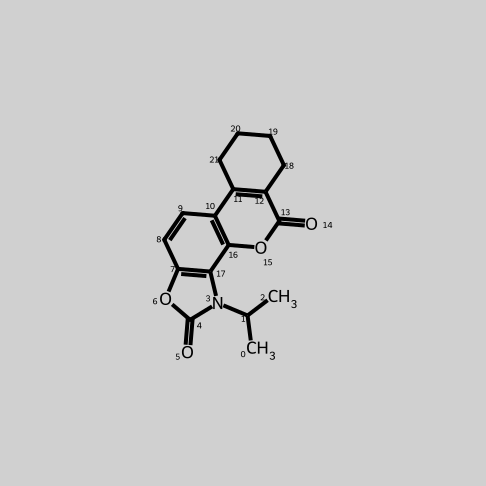 CC(C)n1c(=O)oc2ccc3c4c(c(=O)oc3c21)CCCC4